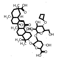 CC1(C)C2CC[C@]3(C)C(C(=O)C=C4[C@@H]5C[C@@](C)(C(=O)O)CC[C@]5(C)CC[C@]43C)[C@@]2(C)CC[C@@H]1O[C@@H]1OC(C(=O)O)[C@@H](O)CC1O[C@@H]1OC(CO)[C@@H](OC2CCC2)C(O)C1O